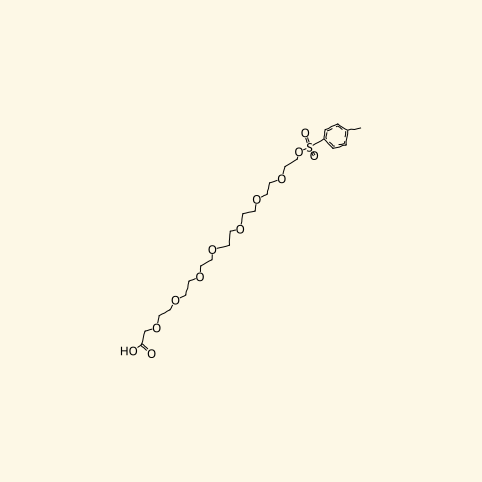 Cc1ccc(S(=O)(=O)OCCOCCOCCOCCOCCOCCOCCOCC(=O)O)cc1